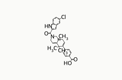 CC1(C)C(c2ccc(C(=O)O)cc2)=CC[C@]2(C)CN(C(=O)c3cc4cc(Cl)ccc4[nH]3)CC=C12